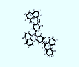 c1ccc2c(N(c3ccc(-c4cc5ccccc5c5ccccc45)cc3)c3ccc4c(c3)Oc3cccc5cccc(c35)O4)cccc2c1